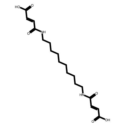 O=C(O)C=CC(=O)NCCCCCCCCCCNC(=O)C=CC(=O)O